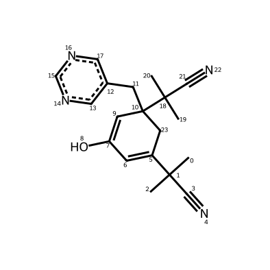 CC(C)(C#N)C1=CC(O)=CC(Cc2cncnc2)(C(C)(C)C#N)C1